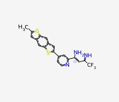 Cc1cc2cc3sc(-c4ccnc(/C(N)=C/C(=N)C(F)(F)F)c4)cc3cc2s1